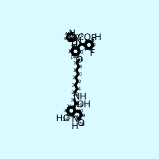 O=C(O)N(C(c1cc(F)cc(F)c1)c1cccc(OCCCCCCCCCNC[C@H](O)c2ccc(O)c3[nH]c(=O)ccc23)c1)[C@H]1CN2CCC1CC2